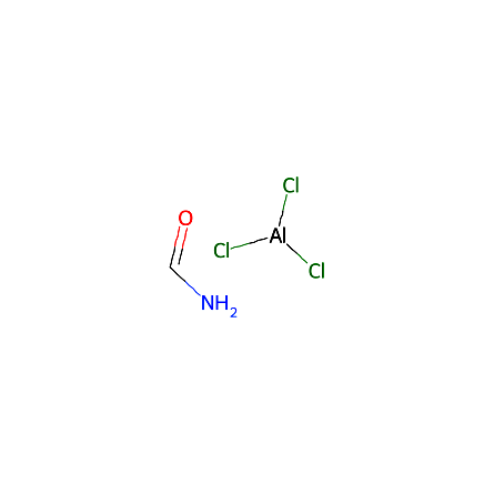 NC=O.[Cl][Al]([Cl])[Cl]